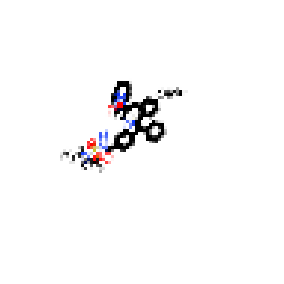 COc1ccc2c(c1)C=C(C(=O)N1C3CCC1CN(C)C3)Cn1c-2c(C2CCCCC2)c2ccc(C(=O)NS(=O)(=O)N(C)C)cc21